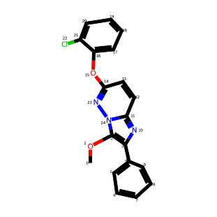 COc1c(-c2ccccc2)nc2ccc(Oc3ccccc3Cl)nn12